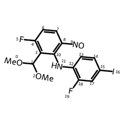 COC(OC)c1c(F)ccc(N=O)c1Nc1ccc(I)cc1F